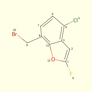 Fc1cc2c(Cl)ccc(CBr)c2o1